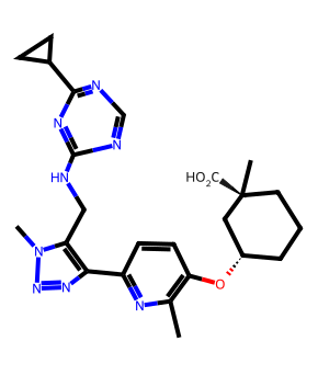 Cc1nc(-c2nnn(C)c2CNc2ncnc(C3CC3)n2)ccc1O[C@H]1CCC[C@](C)(C(=O)O)C1